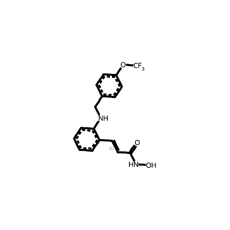 O=C(/C=C/c1ccccc1NCc1ccc(OC(F)(F)F)cc1)NO